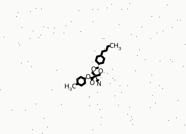 CCCCC1CCC([C@H]2OC[C@@](C#N)(C(=O)OC3CCC(C)CC3)CO2)CC1